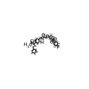 CN(C)C(CCc1ccccc1)C1CCC(CNC(=O)COC2CCN(S(=O)(=O)c3ccc(F)cc3)C2)CC1